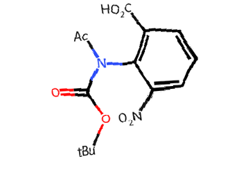 CC(=O)N(C(=O)OC(C)(C)C)c1c(C(=O)O)cccc1[N+](=O)[O-]